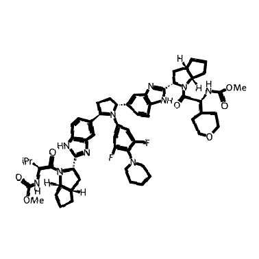 COC(=O)N[C@H](C(=O)N1[C@H](c2nc3cc([C@H]4CC[C@H](c5ccc6[nH]c([C@@H]7C[C@@H]8CCC[C@@H]8N7C(=O)[C@@H](NC(=O)OC)C7CCOCC7)nc6c5)N4c4cc(F)c(N5CCCCC5)c(F)c4)ccc3[nH]2)C[C@@H]2CCC[C@@H]21)C(C)C